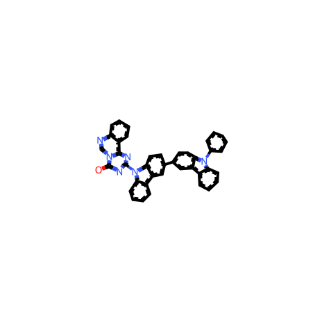 O=c1nc(-n2c3ccccc3c3cc(-c4ccc5c(c4)c4ccccc4n5-c4ccccc4)ccc32)nc2c3ccccc3ncn12